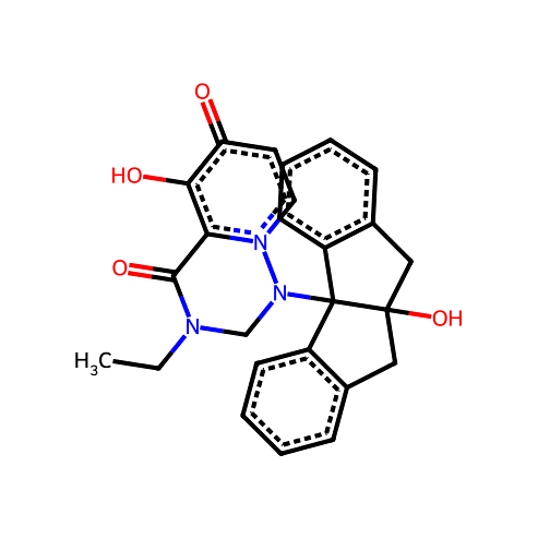 CCN1CN(C23c4ccccc4CC2(O)Cc2ccccc23)n2ccc(=O)c(O)c2C1=O